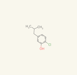 CC(C)Cc1ccc(Cl)c(O)c1